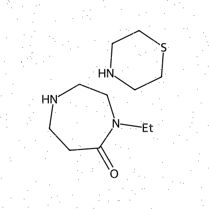 C1CSCCN1.CCN1CCNCCC1=O